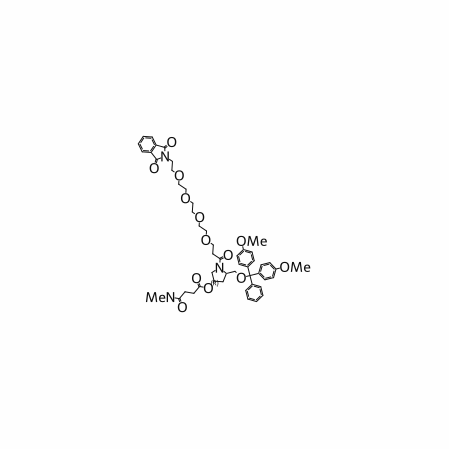 CNC(=O)CCC(=O)O[C@@H]1CC(COC(c2ccccc2)(c2ccc(OC)cc2)c2ccc(OC)cc2)N(C(=O)CCOCCOCCOCCOCCN2C(=O)c3ccccc3C2=O)C1